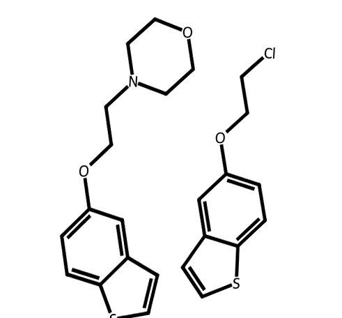 ClCCOc1ccc2sccc2c1.c1cc2cc(OCCN3CCOCC3)ccc2s1